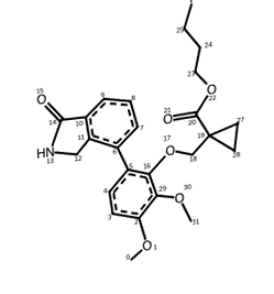 COc1ccc(-c2cccc3c2CNC3=O)c(OCC2(C(=O)OCCCF)CC2)c1OC